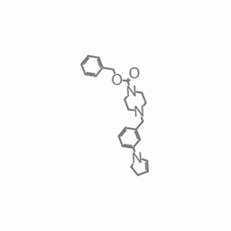 O=C(OCc1ccccc1)N1CCN(Cc2cccc(N3C=CCC3)c2)CC1